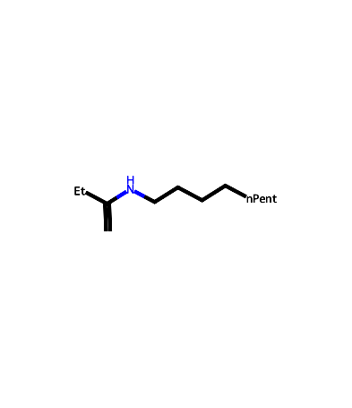 C=C(CC)NCCCCCCCCC